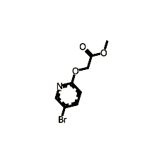 COC(=O)COc1ccc(Br)cn1